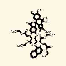 CC(=O)OCOC(=O)CN(CC(=O)OCOC(C)=O)c1cc2c(cc1OCCOc1c(N(CC(=O)OCOC(C)=O)CC(=O)OCOC(C)=O)ccc3ccccc13)C1(OC2=O)c2cc(F)c(OC(C)=O)cc2C(C)(C)c2cc(OC(C)=O)c(F)cc21